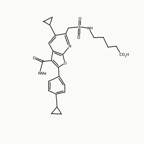 CNC(=O)c1c(-c2ccc(C3CC3)cc2)oc2nc(CS(=O)(=O)NCCCCC(=O)O)c(C3CC3)cc12